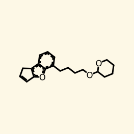 C1=Cc2oc3c(CCCCOC4CCCCO4)cccc3c2C1